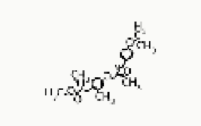 CCOC(=O)C(Cc1ccc(OCc2nc(-c3ccc(OC(C)C)cc3)oc2C)cc1C)OCC